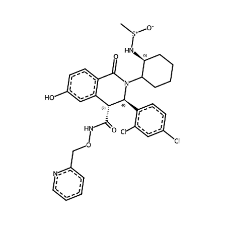 C[S+]([O-])N[C@H]1CCCCC1N1C(=O)c2ccc(O)cc2[C@@H](C(=O)NOCc2ccccn2)[C@@H]1c1ccc(Cl)cc1Cl